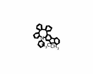 CC1(C)c2ccccc2-c2cc3c4ccccc4c4ccccc4c4ccccc4n(-c4ccccc4)c3cc21